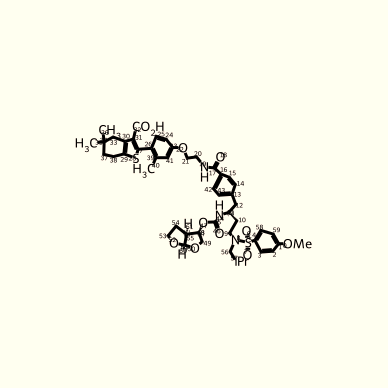 COc1ccc(S(=O)(=O)N(CC[C@H](Cc2ccc(C(=O)NCCOc3ccc(-c4sc5c(c4C(=O)O)CC(C)(C)CC5)c(C)c3)cc2)NC(=O)O[C@H]2CO[C@H]3OCC[C@H]32)CC(C)C)cc1